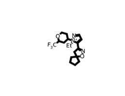 CC[N+]1(C2CCOC(C(F)(F)F)C2)N=CC=C1C1=NOC2(CCCC2)C1